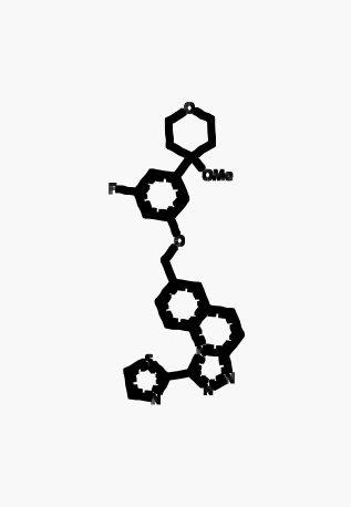 COC1(c2cc(F)cc(OCc3ccc4c(ccc5nnc(-c6nccs6)n54)c3)c2)CCOCC1